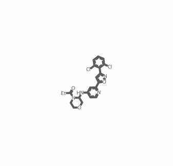 CCC(=O)N1CCOCC1Nc1ccnc(-c2cc(-c3c(Cl)cccc3Cl)no2)c1